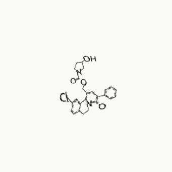 O=C(OCc1cc(-c2ccccc2)c(=O)n2c1-c1cc(Cl)ccc1CC2)N1CCC(O)C1